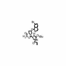 C=CC(=O)NC[C@H](NC(=O)OC(C)(C)C)C(=O)N1C[C@H](Oc2nccc3ccc(Br)cc23)C[C@H]1C(N)=O